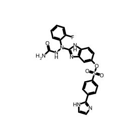 NC(=O)NN(c1nc2cc(OS(=O)(=O)c3ccc(-c4ncc[nH]4)cc3)ccc2[nH]1)c1ccccc1F